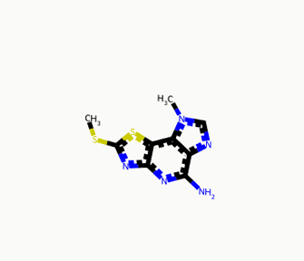 CSc1nc2nc(N)c3ncn(C)c3c2s1